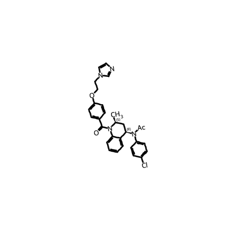 CC(=O)N(c1ccc(Cl)cc1)[C@@H]1C[C@H](C)N(C(=O)c2ccc(OCCn3ccnc3)cc2)c2ccccc21